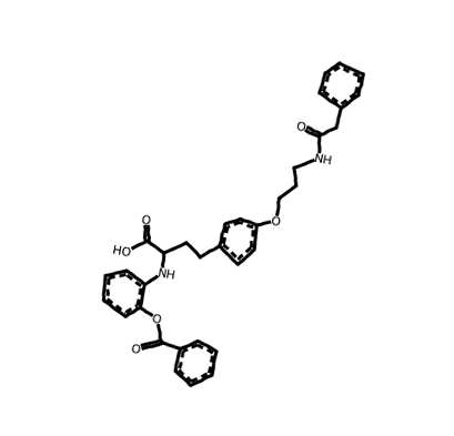 O=C(Cc1ccccc1)NCCCOc1ccc(CCC(Nc2ccccc2OC(=O)c2ccccc2)C(=O)O)cc1